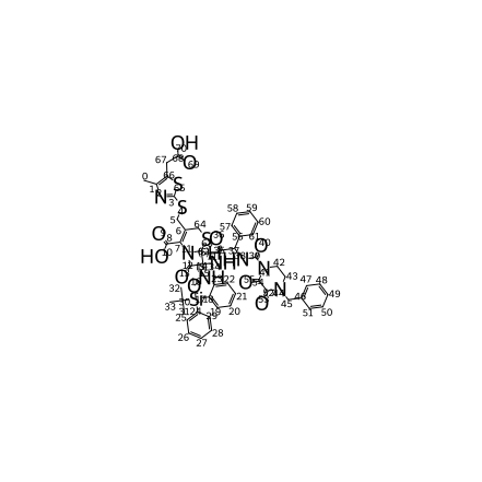 Cc1nc(SCC2=C(C(=O)O)N3C(=O)[C@@](NO[Si](c4ccccc4)(c4ccccc4)C(C)(C)C)(NC(=O)C(NC(=O)N4CCN(Cc5ccccc5)C(=O)C4=O)c4ccccc4)[C@@H]3SC2)sc1CC(=O)O